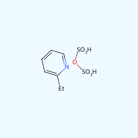 CCc1ccccn1.O=S(=O)(O)OS(=O)(=O)O